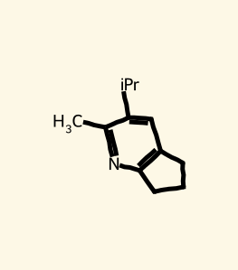 Cc1nc2c(cc1C(C)C)CCC2